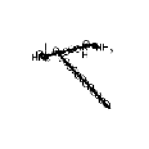 CCCOCCOCCOCCOCCOCCOCCOCCOCCOCCOCCOCCOCCN(CCCOCCOCCOCCCNC(=O)C=Cc1ccc(N)cc1)C(=O)CCCCC1SCC2NC(=O)NC21